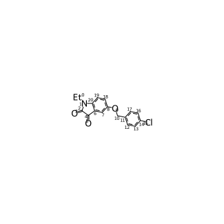 CCN1C(=O)C(=O)c2cc(OCc3ccc(Cl)cc3)ccc21